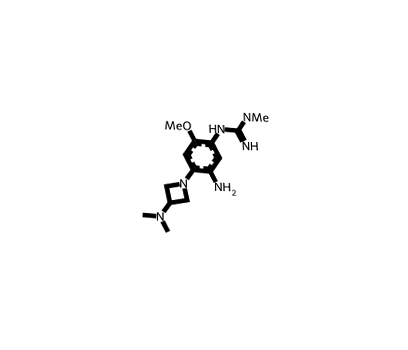 CNC(=N)Nc1cc(N)c(N2CC(N(C)C)C2)cc1OC